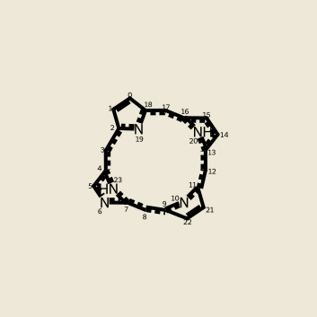 C1=Cc2cc3cnc(cc4nc(cc5ccc(cc1n2)[nH]5)C=C4)[nH]3